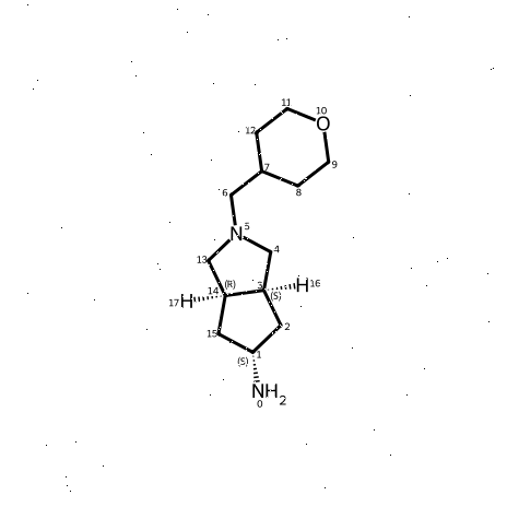 N[C@H]1C[C@@H]2CN(CC3CCOCC3)C[C@@H]2C1